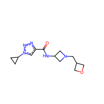 O=C(NC1CN(CC2COC2)C1)c1cn(C2CC2)nn1